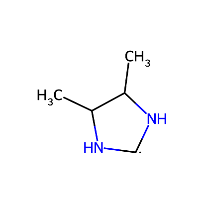 CC1N[CH]NC1C